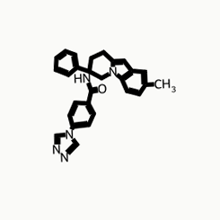 Cc1ccc2c(c1)cc1n2C[C@@](NC(=O)c2ccc(-n3cnnc3)cc2)(c2ccccc2)CC1